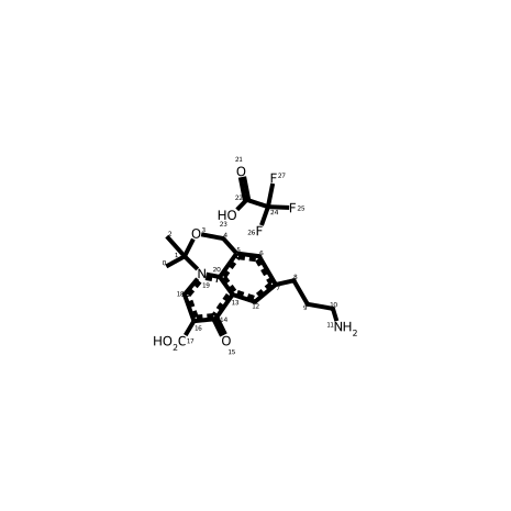 CC1(C)OCc2cc(CCCN)cc3c(=O)c(C(=O)O)cn1c23.O=C(O)C(F)(F)F